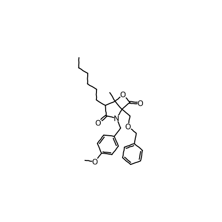 CCCCCCC1C(=O)N(Cc2ccc(OC)cc2)C2(COCc3ccccc3)C(=O)OC12C